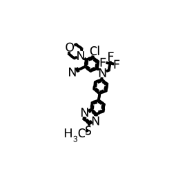 CSc1cnc2cc(-c3ccc(N(CC(F)(F)F)c4cc(Cl)c(N5CCOCC5)c(C#N)c4)cc3)ccc2n1